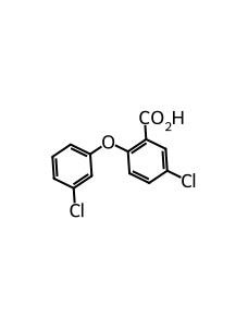 O=C(O)c1cc(Cl)ccc1Oc1cccc(Cl)c1